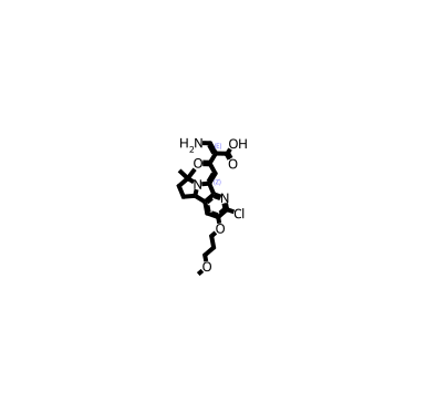 COCCCOc1cc2c(nc1Cl)/C(=C/C(=O)/C(=C\N)C(=O)O)N1C2CCC1(C)C